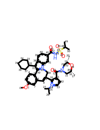 COc1ccc2c(c1)C=C(c1c(C(=O)N3C[C@@H](C)O[C@@H](C)C3)ccn1C(C)C)Cn1c-2c(C2CCCCC2)c2ccc(C(=O)NS(=O)(=O)C(C)C)cc21